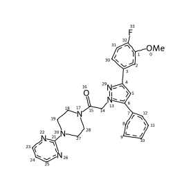 COc1cc(-c2cc(-c3ccccc3)n(CC(=O)N3CCN(c4ncccn4)CC3)n2)ccc1F